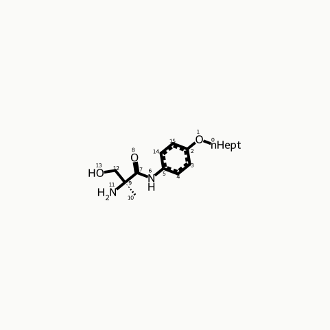 CCCCCCCOc1ccc(NC(=O)[C@@](C)(N)CO)cc1